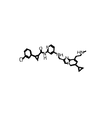 CNCCc1cc(C2CC2)cn2cc(CNc3ccnc(NC(=O)C4CC4c4cccc(Cl)c4)c3)nc12